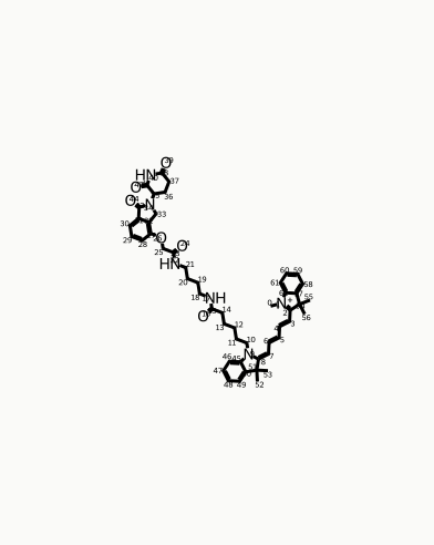 C[N+]1=C(/C=C/C=C/C=C2\N(CCCCCC(=O)NCCCCNC(=O)COc3cccc4c3CN(C3CCC(=O)NC3=O)C4=O)c3ccccc3C2(C)C)C(C)(C)c2ccccc21